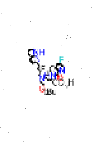 CC(C)(C)OCCN(CCCCc1ccc2c(n1)NCCC2)CCC(NC(=O)c1ncc(F)cc1C(F)(F)F)C(=O)O